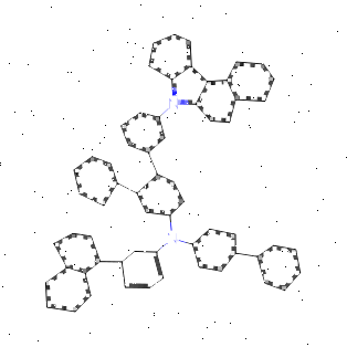 C1=CC(c2cccc3ccccc23)CC(N(c2ccc(-c3ccccc3)cc2)c2ccc(-c3cccc(-n4c5ccccc5c5c6ccccc6ccc54)c3)c(-c3ccccc3)c2)=C1